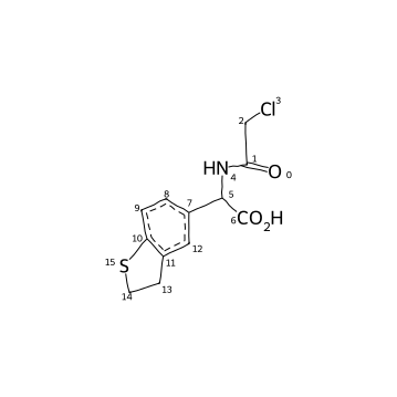 O=C(CCl)NC(C(=O)O)c1ccc2c(c1)CCS2